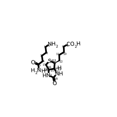 NCCCCC(N)=O.O=C(O)CCCC[C@@H]1SC[C@@H]2NC(=O)N[C@@H]21